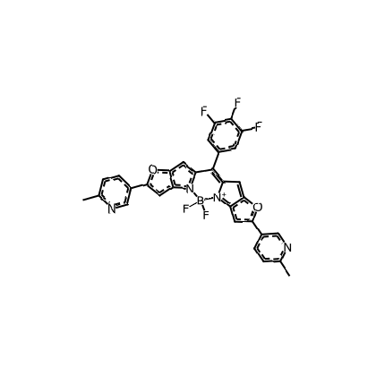 Cc1ccc(-c2cc3c(o2)=CC2=C(c4cc(F)c(F)c(F)c4)c4cc5oc(-c6ccc(C)nc6)cc5n4[B-](F)(F)[N+]=32)cn1